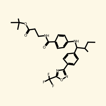 CCC(C)C(Nc1ccc(C(=O)NCCC(=O)OC(C)(C)C)cc1)c1ccc(-c2noc(C(F)(F)F)n2)cc1